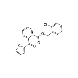 O=C(OCc1ccccc1Cl)c1ccccc1C(=O)c1cccs1